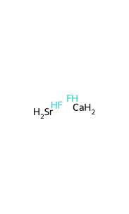 F.F.[CaH2].[SrH2]